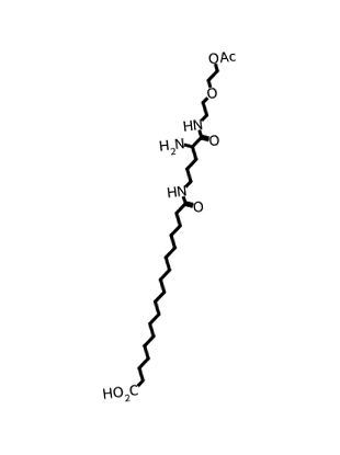 CC(=O)OCCOCCNC(=O)C(N)CCCNC(=O)CCCCCCCCCCCCCCCCC(=O)O